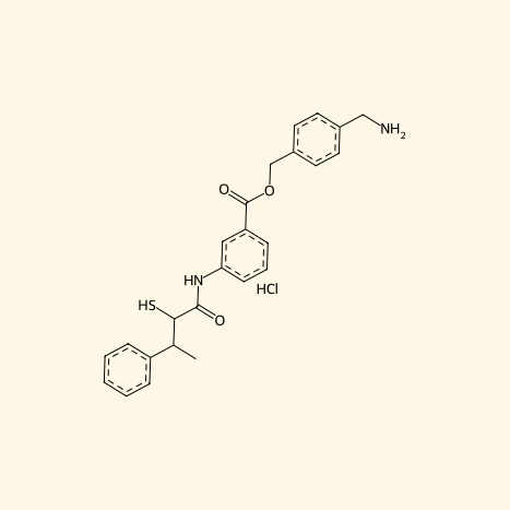 CC(c1ccccc1)C(S)C(=O)Nc1cccc(C(=O)OCc2ccc(CN)cc2)c1.Cl